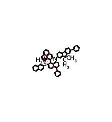 Cc1cccc(N(c2ccc(-c3ccccc3)cc2)c2ccc3c(c2)C(C)(C)c2cc(-c4ccccc4)ccc2-3)c1-c1ccccc1[SiH](c1ccc2ccccc2c1)c1ccc2ccccc2c1